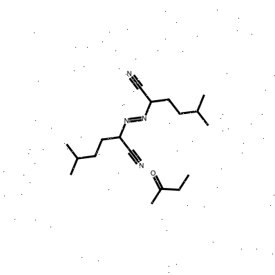 CC(C)CCC(C#N)N=NC(C#N)CCC(C)C.CCC(C)=O